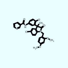 COc1ccc(CN2C(=O)C(C)(c3cc(NC(=O)c4cccnc4)ccc3Cl)c3cc(Cl)ccc32)c(OC)c1